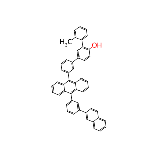 Cc1ccccc1-c1cc(-c2cccc(-c3c4ccccc4c(-c4cccc(-c5ccc6ccccc6c5)c4)c4ccccc34)c2)ccc1O